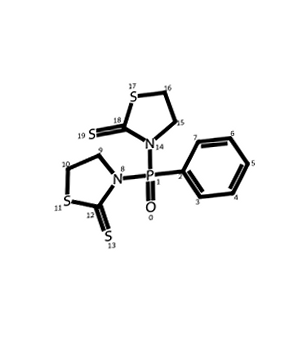 O=P(c1ccccc1)(N1CCSC1=S)N1CCSC1=S